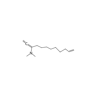 C=C=C(CCCCCCCC=C)N(C)C